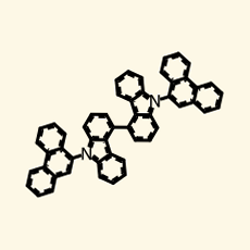 c1ccc2c(c1)cc(-n1c3ccccc3c3c(-c4cccc5c4c4ccccc4n5-c4cc5ccccc5c5ccccc45)cccc31)c1ccccc12